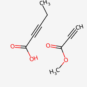 C#CC(=O)OC.CCC#CC(=O)O